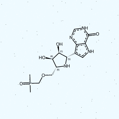 CP(C)(=O)COC[C@H]1N[C@@H](c2c[nH]c3c(=O)[nH]cnc23)[C@H](O)[C@@H]1O